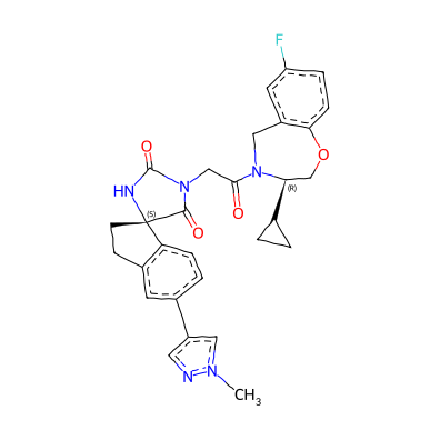 Cn1cc(-c2ccc3c(c2)CC[C@]32NC(=O)N(CC(=O)N3Cc4cc(F)ccc4OC[C@H]3C3CC3)C2=O)cn1